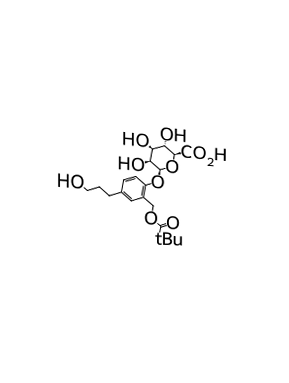 CC(C)(C)C(=O)OCc1cc(CCCO)ccc1O[C@@H]1O[C@H](C(=O)O)[C@@H](O)[C@H](O)[C@@H]1O